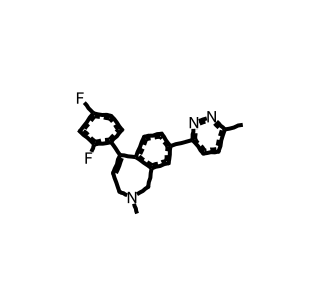 Cc1ccc(-c2ccc3c(c2)CN(C)CC=C3c2ccc(F)cc2F)nn1